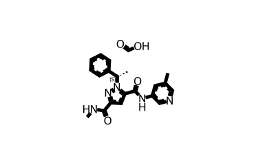 CNC(=O)c1cc(C(=O)Nc2cncc(C)c2)n([C@@H](C)c2ccccc2)n1.O=CO